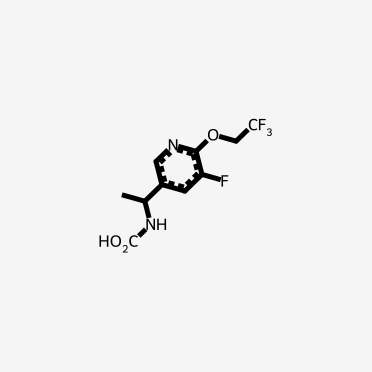 CC(NC(=O)O)c1cnc(OCC(F)(F)F)c(F)c1